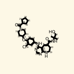 CC(C)(CO)NC(=O)C1=Cc2c(ncnc2Nc2ccc(OC3CCN(C(=O)C4CCCC4)CC3)c(Cl)c2)NCC1